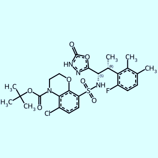 Cc1ccc(F)c([C@@H](C)[C@H](NS(=O)(=O)c2ccc(Cl)c3c2OCCN3C(=O)OC(C)(C)C)c2n[nH]c(=O)o2)c1C